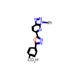 CC(C)n1nnc2ccc(-c3nnc(-c4ccc(C(=O)O)cc4)o3)nc21